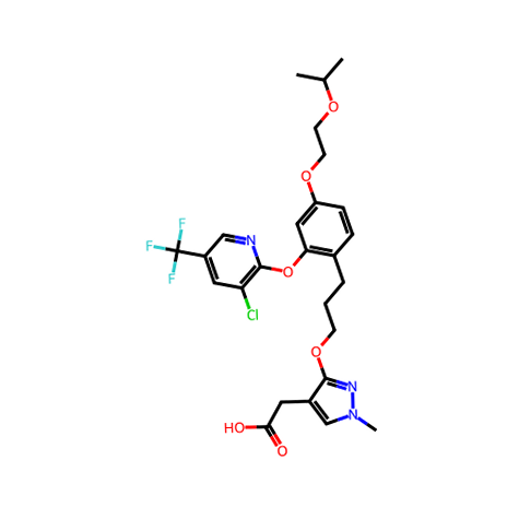 CC(C)OCCOc1ccc(CCCOc2nn(C)cc2CC(=O)O)c(Oc2ncc(C(F)(F)F)cc2Cl)c1